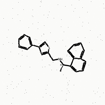 C[C@@H](NCc1cc(-c2ccccc2)cs1)c1cccc2ccccc12